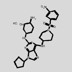 Cl.Cl.NC1CCC(Nc2nc(NC3CCN(S(=O)(=O)c4cccc([N+](=O)[O-])c4)CC3)c3ncn(C4CCCC4)c3n2)CC1